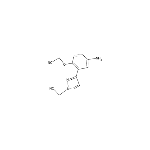 N#CCOc1ccc(N)cc1-c1ccn(CC#N)n1